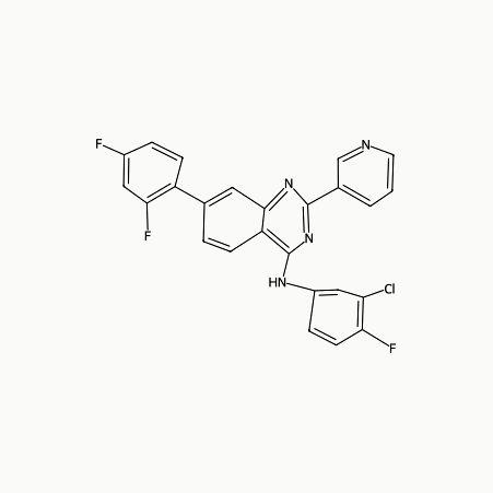 Fc1ccc(-c2ccc3c(Nc4ccc(F)c(Cl)c4)nc(-c4cccnc4)nc3c2)c(F)c1